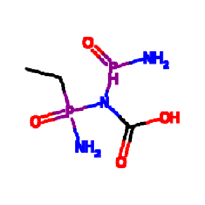 CCP(N)(=O)N(C(=O)O)[PH](N)=O